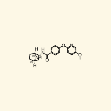 COc1ccc(Oc2ccc(C(=O)N[C@@H]3C[C@H]4CC[C@@H]3N4)cc2)nc1